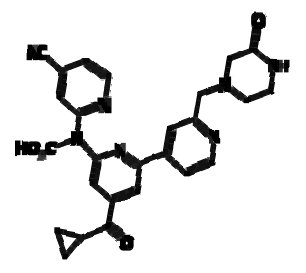 N#Cc1ccnc(N(C(=O)O)c2cc(C(=O)C3CC3)cc(-c3ccnc(CN4CCNC(=O)C4)c3)n2)c1